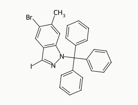 Cc1cc2c(cc1Br)c(I)nn2C(c1ccccc1)(c1ccccc1)c1ccccc1